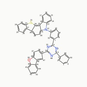 c1ccc(-c2nc(-c3cccc(-n4c5ccccc5c5c6sc7ccccc7c6ccc54)c3)nc(-c3ccc4oc5ccccc5c4c3)n2)cc1